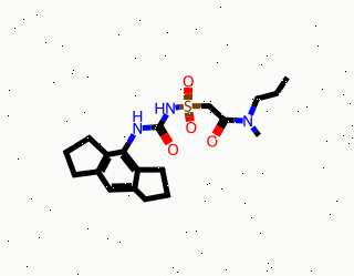 CCCN(C)C(=O)CS(=O)(=O)NC(=O)Nc1c2c(cc3c1CCC3)CCC2